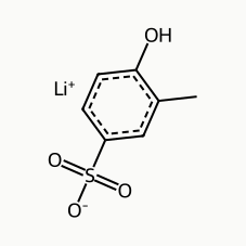 Cc1cc(S(=O)(=O)[O-])ccc1O.[Li+]